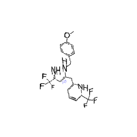 COc1ccc(CN/C(=C\C(=N)C(F)(F)F)CC2=CC=CC(C(F)(F)F)N2)cc1